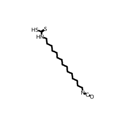 O=C=NCCCCCCCCCCCCCCCNC(=S)S